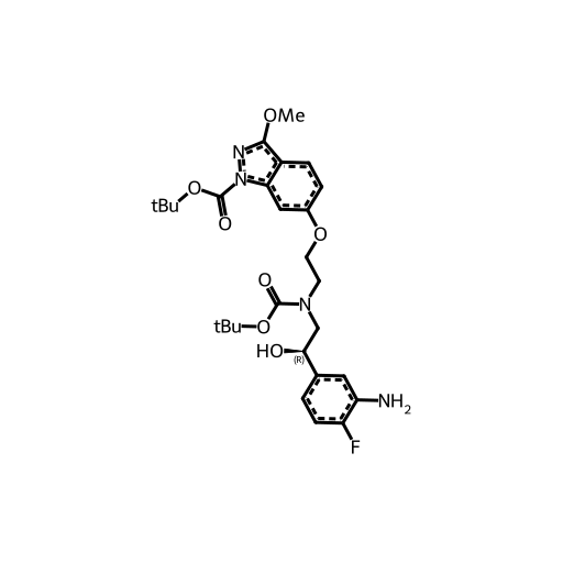 COc1nn(C(=O)OC(C)(C)C)c2cc(OCCN(C[C@H](O)c3ccc(F)c(N)c3)C(=O)OC(C)(C)C)ccc12